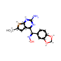 Nc1nc(C(=NO)c2ccc3c(c2)OCO3)c2cc(C(=O)O)sc2n1